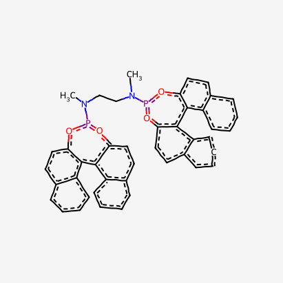 CN(CCN(C)p1oc2ccc3ccccc3c2c2c(ccc3ccccc32)o1)p1oc2ccc3ccccc3c2c2c(ccc3ccccc32)o1